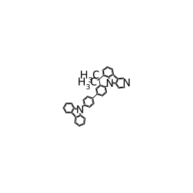 CC1(C)c2cc(-c3ccc(-n4c5ccccc5c5ccccc54)cc3)ccc2-n2c3ccncc3c3cccc1c32